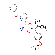 COc1ccc(C(C(=O)OC(C#N)c2cccc(Oc3ccccc3)n2)C(C)C)cc1